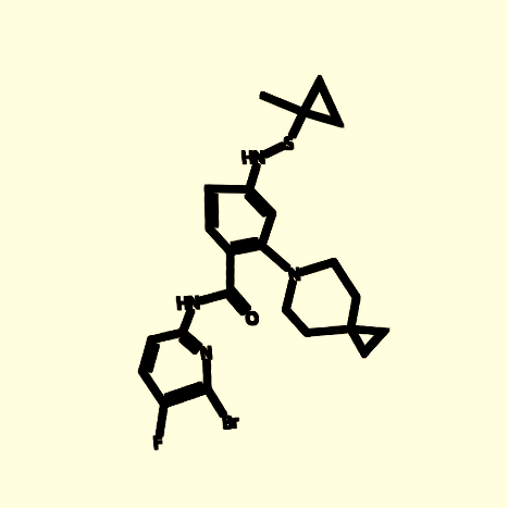 CC1(SNc2ccc(C(=O)Nc3ccc(F)c(Br)n3)c(N3CCC4(CC3)CC4)c2)CC1